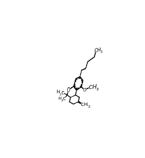 C=C1CCC2C(C1)c1c(OC)cc(CCCCC)cc1OC2(C)C